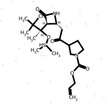 C=CCOC(=O)N1CCC(C(=O)C[C@H]2NC(=O)[C@@H]2[C@@](C)(O[SiH](C)C)C(C)(C)C)C1